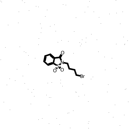 O=C1c2ccccc2S(=O)(=O)N1CCCCBr